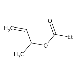 C=CC(C)OC(=O)CC